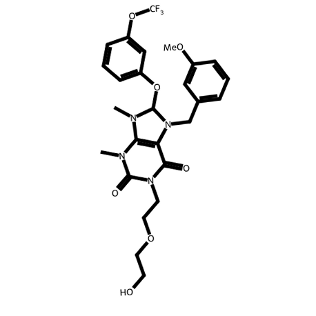 COc1cccc(CN2c3c(n(C)c(=O)n(CCOCCO)c3=O)N(C)C2Oc2cccc(OC(F)(F)F)c2)c1